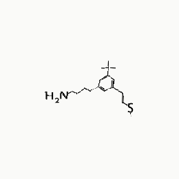 CSCCc1cc(CCCCN)cc(C(C)(C)C)c1